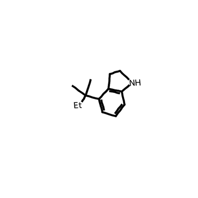 CCC(C)(C)c1cccc2c1CCN2